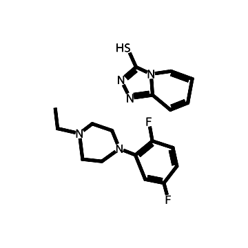 CCN1CCN(c2cc(F)ccc2F)CC1.Sc1nnc2ccccn12